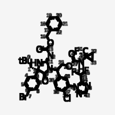 CC(C)(C)C[C@]1(c2ccc(Br)cc2)NC(=NC(=O)OCc2ccccc2)N(C(COC(=O)NC2(C(F)(F)F)CC2)c2ccc(Cl)c(-n3ncnc3C(F)F)c2)C1=O